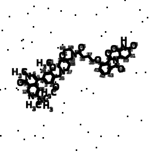 COc1cc(-c2cn(C)c(=O)c3cnc(N(C)C)cc23)cc(OC)c1CN1CCC2(CC1)CN(C(=O)CCCOc1cccc3c1C(=O)N(C1CCC(=O)NC1=O)C3=O)CCO2